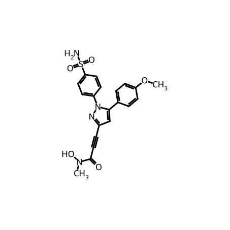 COc1ccc(-c2cc(C#CC(=O)N(C)O)nn2-c2ccc(S(N)(=O)=O)cc2)cc1